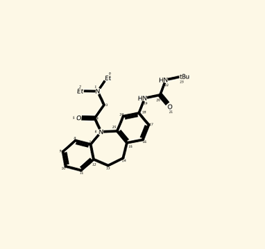 CCN(CC)CC(=O)N1c2ccccc2CCc2ccc(NC(=O)NC(C)(C)C)cc21